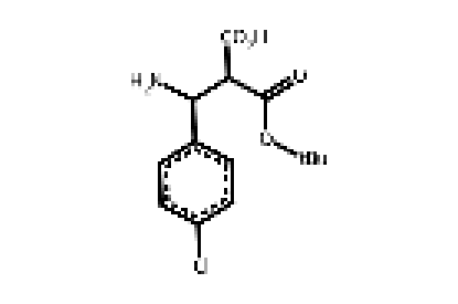 CC(C)(C)OC(=O)C(C(=O)O)C(N)c1ccc(Cl)cc1